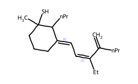 C=C(CCC)/C(=C\C=C1/CCCC(C)(S)C1CCC)CC